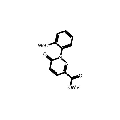 COC(=O)c1ccc(=O)n(-c2ccccc2OC)n1